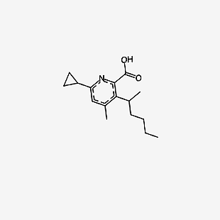 CCCCC(C)c1c(C)cc(C2CC2)nc1C(=O)O